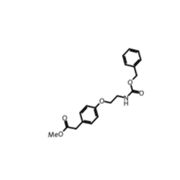 COC(=O)Cc1ccc(OCCNC(=O)OCc2ccccc2)cc1